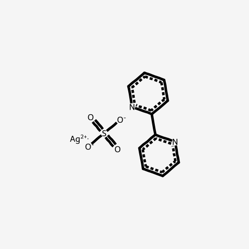 O=S(=O)([O-])[O-].[Ag+2].c1ccc(-c2ccccn2)nc1